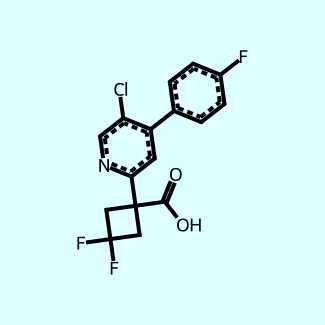 O=C(O)C1(c2cc(-c3ccc(F)cc3)c(Cl)cn2)CC(F)(F)C1